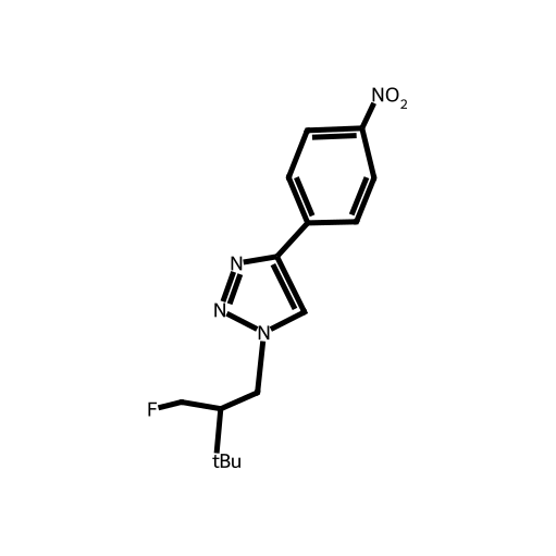 CC(C)(C)C(CF)Cn1cc(-c2ccc([N+](=O)[O-])cc2)nn1